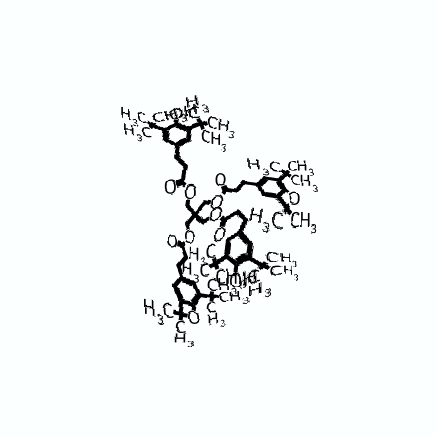 CC(C)(C)c1cc(CCC(=O)OCC(COC(=O)CCc2cc(C(C)(C)C)c(O)c(C(C)(C)C)c2)(COC(=O)CCc2cc(C(C)(C)C)c3c(c2)C(C)(C)O3)COC(=O)CCc2cc(C(C)(C)C)c3c(c2)C(C)(C)O3)cc(C(C)(C)C)c1O